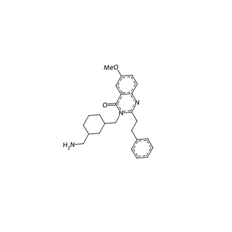 COc1ccc2nc(CCc3ccccc3)n(CC3CCCC(CN)C3)c(=O)c2c1